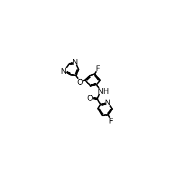 O=C(Nc1cc(F)cc(Oc2cncnc2)c1)c1ccc(F)cn1